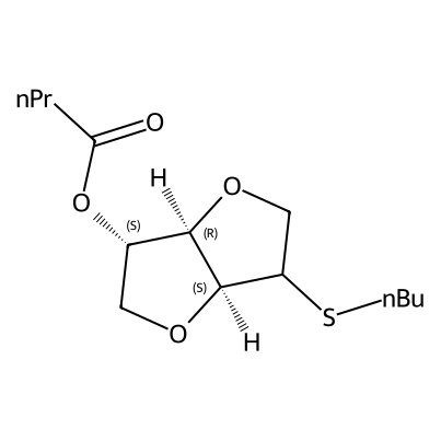 CCCCSC1CO[C@@H]2[C@@H](OC(=O)CCC)CO[C@H]12